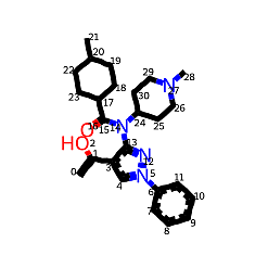 C=C(O)c1cn(-c2ccccc2)nc1N(C(=O)C1CCC(C)CC1)C1CCN(C)CC1